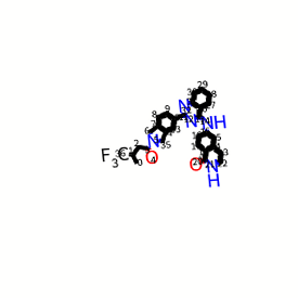 CC(CC(=O)N1Cc2ccc(-c3nc(Nc4ccc5c(=O)[nH]ccc5c4)c4ccccc4n3)cc2C1)C(F)(F)F